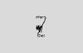 CCCCC/C=C\CCCCCCCCCCC(=O)OC(COC(=O)CCCCCCCCCCCCCCC)COP(=O)(O)OCC